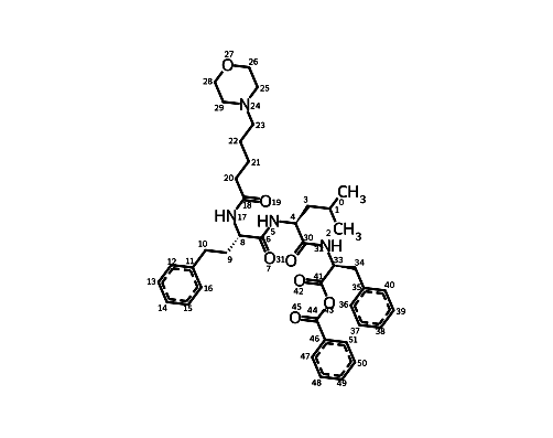 CC(C)C[C@H](NC(=O)[C@H](CCc1ccccc1)NC(=O)CCCCN1CCOCC1)C(=O)N[C@@H](Cc1ccccc1)C(=O)OC(=O)c1ccccc1